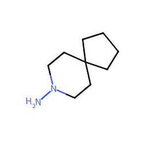 NN1CCC2(CCCC2)CC1